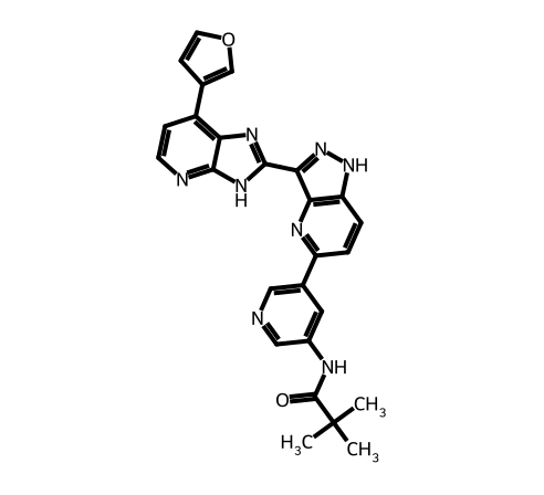 CC(C)(C)C(=O)Nc1cncc(-c2ccc3[nH]nc(-c4nc5c(-c6ccoc6)ccnc5[nH]4)c3n2)c1